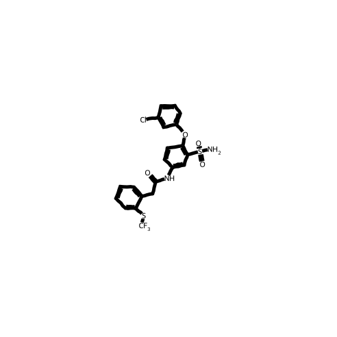 NS(=O)(=O)c1cc(NC(=O)Cc2ccccc2SC(F)(F)F)ccc1Oc1cccc(Cl)c1